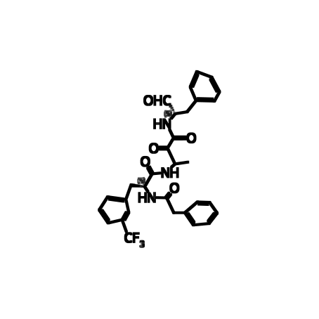 CC(NC(=O)[C@H](Cc1cccc(C(F)(F)F)c1)NC(=O)Cc1ccccc1)C(=O)C(=O)N[C@H](C=O)Cc1ccccc1